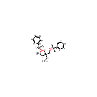 CC(C)CC(CO[Si](C)(C)c1ccccc1)(CO[Si](C)(C)c1ccccc1)CC(C)C